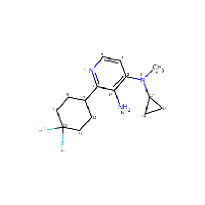 CN(c1ccnc(C2CCC(F)(F)CC2)c1N)C1CC1